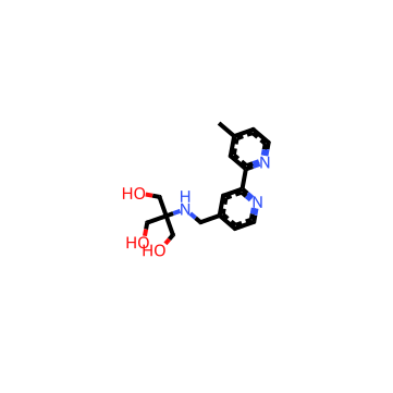 Cc1ccnc(-c2cc(CNC(CO)(CO)CO)ccn2)c1